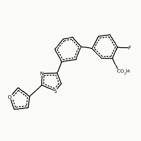 O=C(O)c1cc(-c2cccc(-c3csc(-c4ccoc4)n3)c2)ccc1F